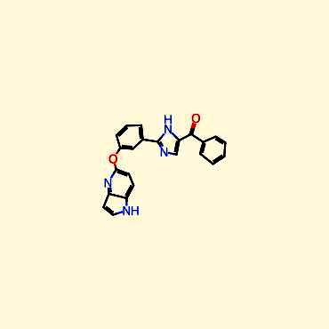 O=C(c1ccccc1)c1cnc(-c2cccc(Oc3ccc4[nH]ccc4n3)c2)[nH]1